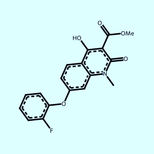 COC(=O)c1c(O)c2ccc(Oc3ccccc3F)cc2n(C)c1=O